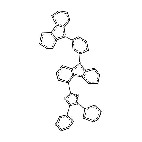 c1cncc(-c2nc(-c3cccc4c3c3ccccc3n4-c3cccc(-n4c5ccccc5c5ccccc54)c3)nn2-c2cccnc2)c1